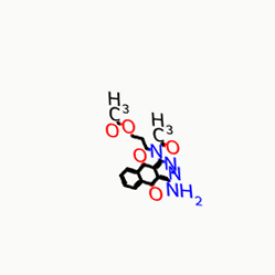 CC(=O)OCCCN(C(C)=O)c1nnc(N)c2c1C(=O)c1ccccc1C2=O